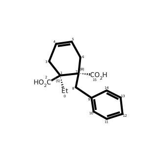 CC[C@]1(C(=O)O)CC=CC[C@]1(Cc1ccccc1)C(=O)O